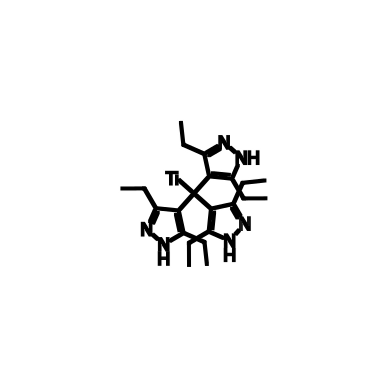 CCc1n[nH]c(CC)c1[C]([Ti])(c1c(CC)n[nH]c1CC)c1c(CC)n[nH]c1CC